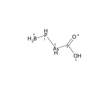 BP[AsH]C(=O)O